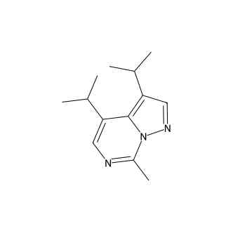 Cc1ncc(C(C)C)c2c(C(C)C)cnn12